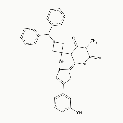 CN1C(=N)N/C(=C2\CC(c3cccc(C#N)c3)=CS2)C(C2(O)CN(C(c3ccccc3)c3ccccc3)C2)C1=O